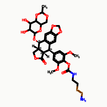 COc1cc([C@@H]2c3cc4c(cc3[C@@H](OC3OC5COC(C)OC5C(O)C3O)[C@H]3COC(=O)[C@H]23)OCO4)cc(OC)c1OC(=O)NCCSSN